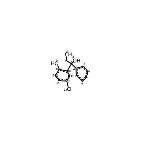 CCC(O)(c1ccccc1)c1cc(Cl)ccc1O